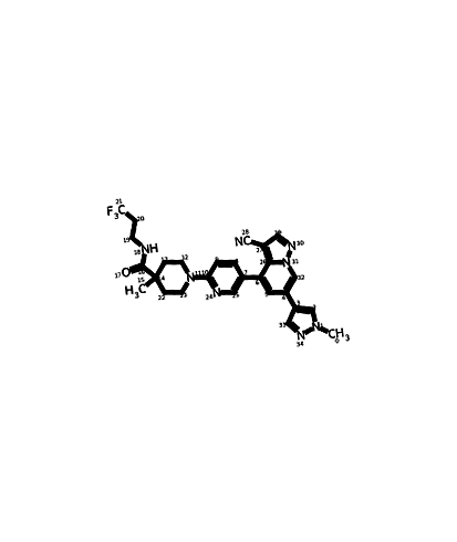 Cn1cc(-c2cc(-c3ccc(N4CCC(C)(C(=O)NCCC(F)(F)F)CC4)nc3)c3c(C#N)cnn3c2)cn1